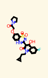 O=C(COc1ccc2c(c1)S(=O)(=O)N=C(c1c(O)c3cc(F)ccc3n(CCC3CC3)c1=O)N2)N1CCCC1